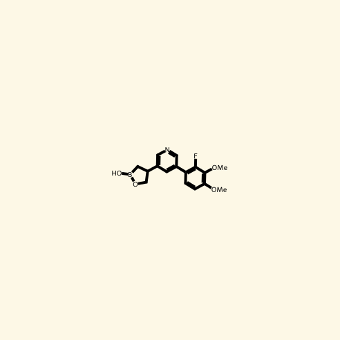 COc1ccc(-c2cncc(C3COB(O)C3)c2)c(F)c1OC